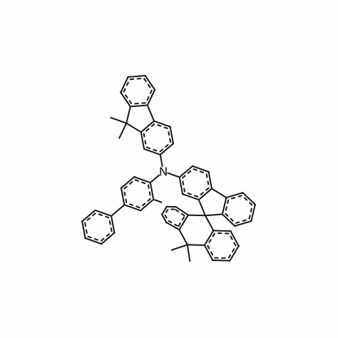 Cc1cc(-c2ccccc2)ccc1N(c1ccc2c(c1)C(C)(C)c1ccccc1-2)c1ccc2c(c1)C1(c3ccccc3-2)c2ccccc2C(C)(C)c2ccccc21